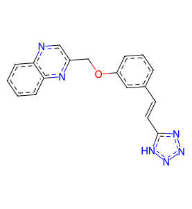 C(=Cc1nnn[nH]1)c1cccc(OCc2cnc3ccccc3n2)c1